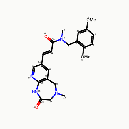 COc1ccc(OC)c(CN(C)C(=O)C=Cc2cnc3c(c2)CN(C)CC(=O)N3)c1